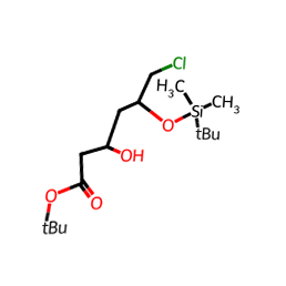 CC(C)(C)OC(=O)CC(O)CC(CCl)O[Si](C)(C)C(C)(C)C